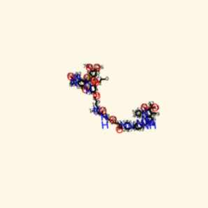 CCCOc1cc(OCCCCN(C)CC(=O)NCCOCCC(=O)N2CCN(c3ccc(Nc4ncc5c(C)c(C(C)=O)c(=O)n(C6CCCC6)c5n4)nc3)CC2)cc(Oc2cc3c(cc2NS(=O)(=O)c2ccc(OC)c(OC)c2)n(C)c(=O)n3C)c1